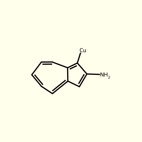 Nc1cc2cccccc-2[c]1[Cu]